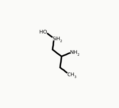 CCC(N)C[SiH2]O